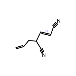 C=CCC(C#N)/C=C/C#N